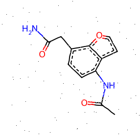 CC(=O)Nc1ccc(CC(N)=O)c2occc12